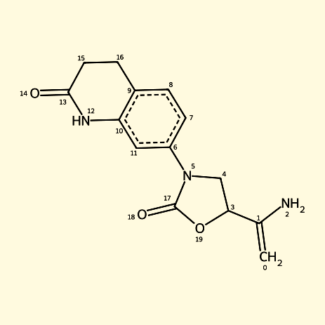 C=C(N)C1CN(c2ccc3c(c2)NC(=O)CC3)C(=O)O1